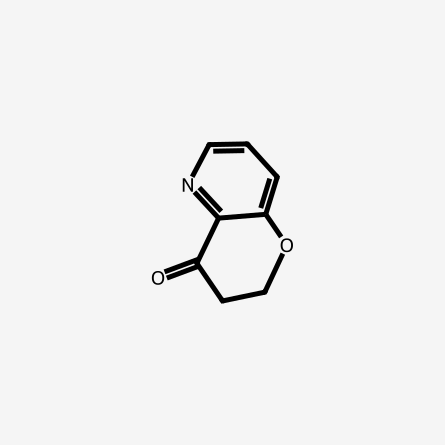 O=C1CCOc2cccnc21